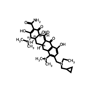 CCN(Cc1cc(O)c2c(c1N(C)C)C[C@H]1C[C@H]3[C@H](N(C)C)C(O)=C(C(N)=O)C(=O)[C@@]3(O)C(O)=C1C2=O)CC1CC1